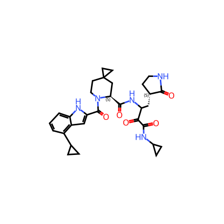 O=C(NC1CC1)C(=O)C(C[C@@H]1CCNC1=O)NC(=O)[C@@H]1CC2(CCN1C(=O)c1cc3c(C4CC4)cccc3[nH]1)CC2